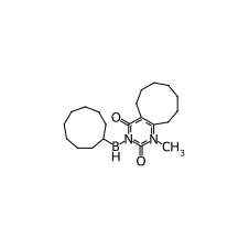 Cn1c2c(c(=O)n(BC3CCCCCCCC3)c1=O)CCCCCCC2